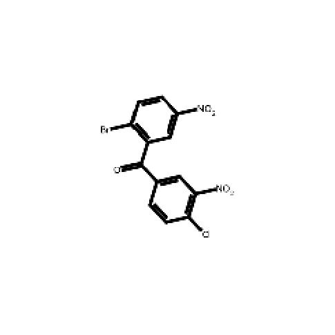 O=C(c1ccc(Cl)c([N+](=O)[O-])c1)c1cc([N+](=O)[O-])ccc1Br